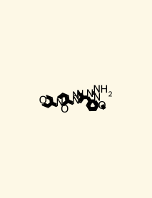 COc1cccc2c(-c3cn(Cc4cccn(CC5CCOCC5)c4=O)nn3)nc(N)nc12